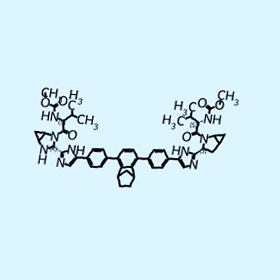 COC(=O)N[C@H](C(=O)N1C2CC2C[C@H]1c1ncc(-c2ccc(-c3ccc(-c4ccc(-c5cnc([C@@H]6NC7CC7N6C(=O)[C@@H](NC(=O)OC)C(C)C)[nH]5)cc4)c4c3C3CCC4C3)cc2)[nH]1)C(C)C